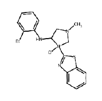 CCc1ccccc1NC1CN(C)C[N+]1([O-])c1nc2ccccc2s1